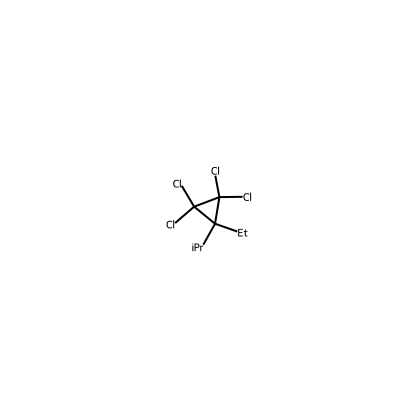 CCC1(C(C)C)C(Cl)(Cl)C1(Cl)Cl